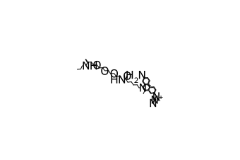 C=C(CCOCCOCCOCCNC(=O)CCCCC[n+]1c(C)c2cc(N=[N+]=[N-])ccc2c2ccc(N)cc21)NCCC